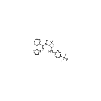 O=C(c1ncccc1-c1ncco1)N1CC2CC23CC(Nc2ccc(C(F)(F)F)cn2)C13